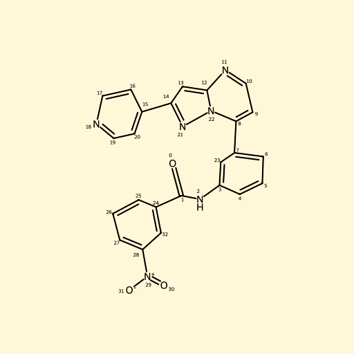 O=C(Nc1cccc(-c2ccnc3cc(-c4ccncc4)nn23)c1)c1cccc([N+](=O)[O-])c1